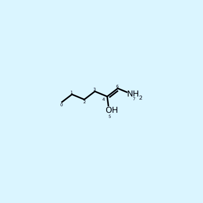 CCCCC(O)=CN